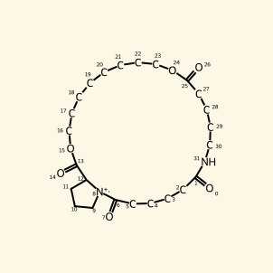 O=C1CCCCC(=O)[N+]2CCCC2C(=O)OCCCCCCCCOC(=O)CCCCN1